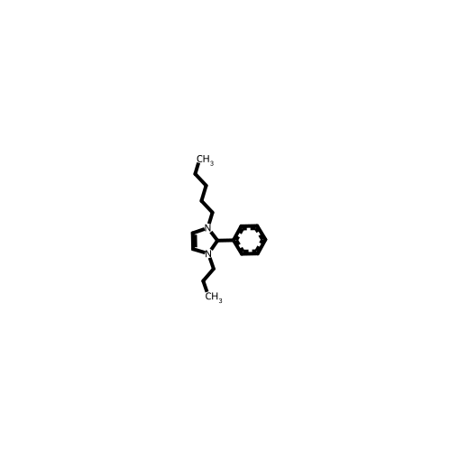 CCCCCN1C=CN(CCC)C1c1ccccc1